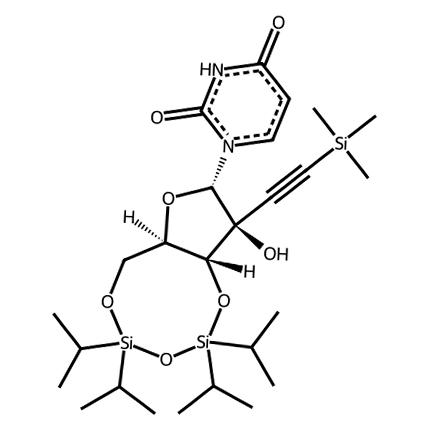 CC(C)[Si]1(C(C)C)OC[C@H]2O[C@H](n3ccc(=O)[nH]c3=O)[C@](O)(C#C[Si](C)(C)C)[C@@H]2O[Si](C(C)C)(C(C)C)O1